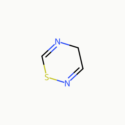 C1=NCC=NS1